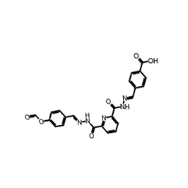 O=COc1ccc(/C=N/NC(=O)c2cccc(C(=O)N/N=C/c3ccc(C(=O)O)cc3)n2)cc1